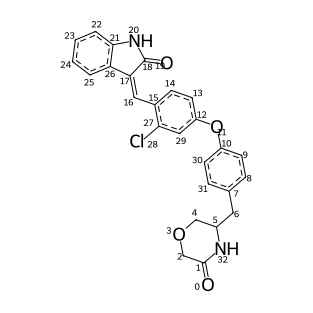 O=C1COCC(Cc2ccc(Oc3ccc(C=C4C(=O)Nc5ccccc54)c(Cl)c3)cc2)N1